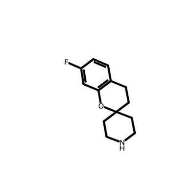 Fc1ccc2c(c1)OC1(CCNCC1)CC2